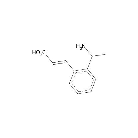 CC(N)c1ccccc1/C=C/C(=O)O